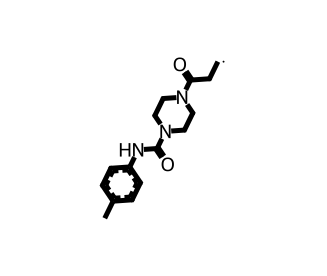 [CH2]CC(=O)N1CCN(C(=O)Nc2ccc(C)cc2)CC1